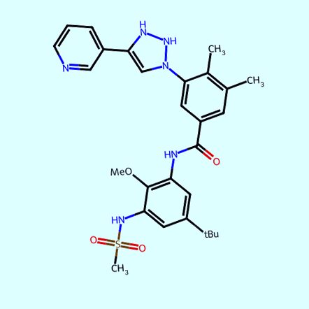 COc1c(NC(=O)c2cc(C)c(C)c(N3C=C(c4cccnc4)NN3)c2)cc(C(C)(C)C)cc1NS(C)(=O)=O